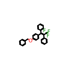 FC(F)(F)C(=C(c1ccccc1)c1ccc(OCc2ccccc2)cc1)c1ccccc1